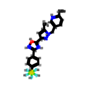 CNc1ccc(Cn2nc(-c3nc(-c4ccc(S(F)(F)(F)(F)F)cc4)no3)cc2C)cn1